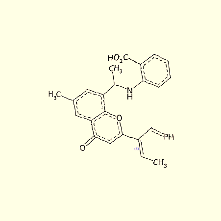 C/C=C(\C=P)c1cc(=O)c2cc(C)cc(C(C)Nc3ccccc3C(=O)O)c2o1